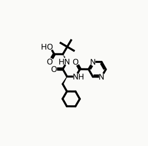 CC(C)(C)[C@H](NC(=O)[C@H](CC1CCCCC1)NC(=O)c1cnccn1)C(=O)O